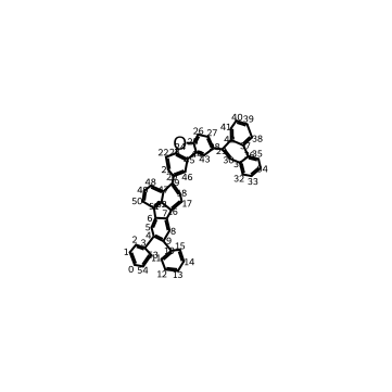 c1ccc(-c2cc3c(cc2-c2ccccc2)-c2ccc(-c4ccc5oc6ccc(-c7cc8ccccc8c8ccccc78)cc6c5c4)c4cccc-3c24)cc1